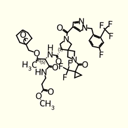 COC(=O)CCNC(=O)[C@@H](NC(=O)[C@@H]1CN(C(=O)c2cnn(Cc3ccc(F)cc3C(F)(F)F)c2)CC12CN(C(=O)C1(C(F)(F)F)CC1)C2)[C@@H](C)OCC12CCC(CC1)OC2